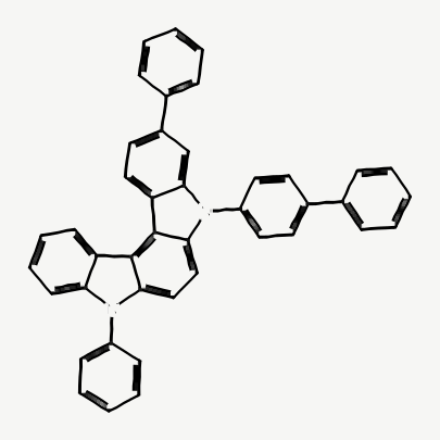 c1ccc(-c2ccc(-n3c4cc(-c5ccccc5)ccc4c4c5c6ccccc6n(-c6ccccc6)c5ccc43)cc2)cc1